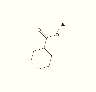 C[CH][C@@H](C)OC(=O)C1CCCCC1